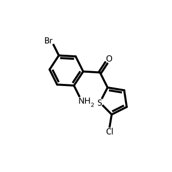 Nc1ccc(Br)cc1C(=O)c1ccc(Cl)s1